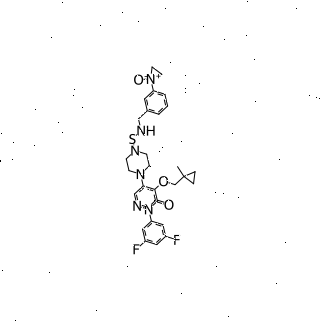 CC1(COc2c(N3CCN(SNCc4cccc([N+]5([O-])CC5)c4)CC3)cnn(-c3cc(F)cc(F)c3)c2=O)CC1